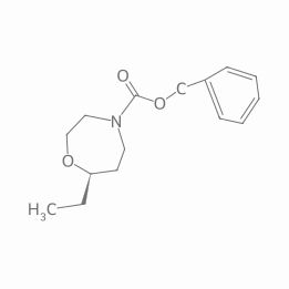 CC[C@@H]1CCN(C(=O)OCc2ccccc2)CCO1